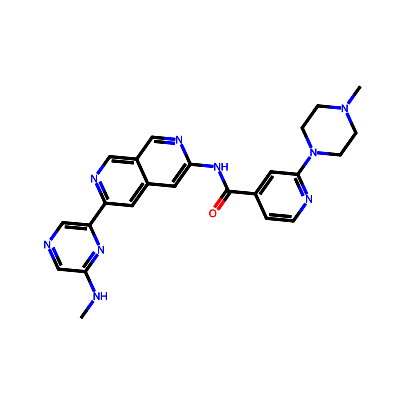 CNc1cncc(-c2cc3cc(NC(=O)c4ccnc(N5CCN(C)CC5)c4)ncc3cn2)n1